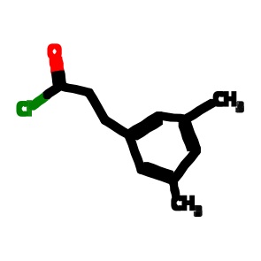 Cc1cc(C)cc(CCC(=O)Cl)c1